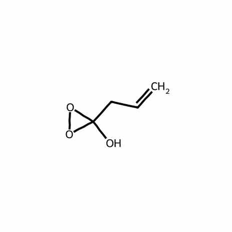 C=CCC1(O)OO1